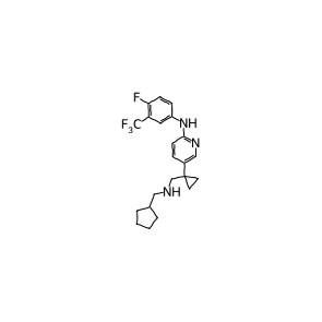 Fc1ccc(Nc2ccc(C3(CNCC4CCCC4)CC3)cn2)cc1C(F)(F)F